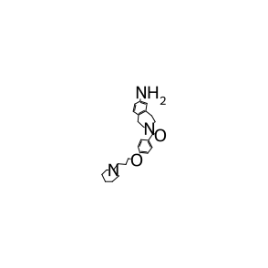 Nc1ccc2c(c1)CCN(C(=O)c1ccc(OCCCN3CCCCC3)cc1)CC2